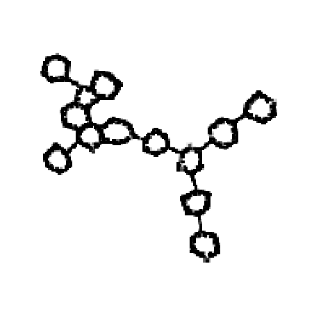 c1ccc(-c2nc3cc(-c4ccc(-c5nc(-c6ccc(-c7ccncc7)cc6)cc(-c6ccc(-c7ccncc7)cc6)n5)cc4)ccc3c3c2ccc2c3c3ccccc3n2-c2ccccc2)cc1